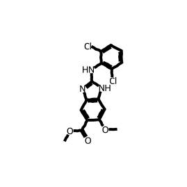 COC(=O)c1cc2nc(Nc3c(Cl)cccc3Cl)[nH]c2cc1OC